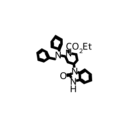 CCOC(=O)N1CCC(n2c(=O)[nH]c3ccccc32)CC1N(Cc1ccccc1)c1ccccc1